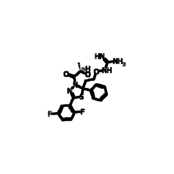 C[C@H](O)C(=O)N1N=C(c2cc(F)ccc2F)SC1(CCONC(=N)N)c1ccccc1